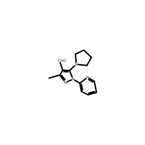 Cc1nn(-c2ccccn2)c(N2CCCC2)c1C=O